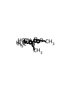 CCCCOc1ccc2c(c1)OCC(c1ccc(CC(C)(C)[Si](C)(C)O)cc1OCCCC)=C2